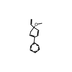 C=CC1(OC)C=CC(c2ccccc2)=CC1